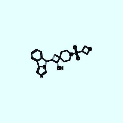 O=S(=O)(C1COC1)N1CCC2(CC1)C[C@@H]([C@H]1c3ccccc3-c3cncn31)[C@H]2O